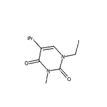 CC(C)c1cn(CI)c(=O)n(C)c1=O